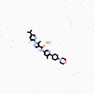 Cc1cc(NC(=O)c2cnn(-c3ncc(C(C)C)cc3F)c2C)cnc1C1CCC(N2CCOCC2)CC1.Cl